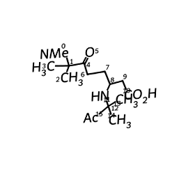 CNC(C)(C)C(=O)CCC(CC(=O)O)NC(C)(C)C(C)=O